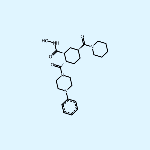 O=C(NO)[C@H]1C[C@@H](C(=O)N2CCCCC2)CC[C@@H]1C(=O)N1CCN(c2ccccc2)CC1